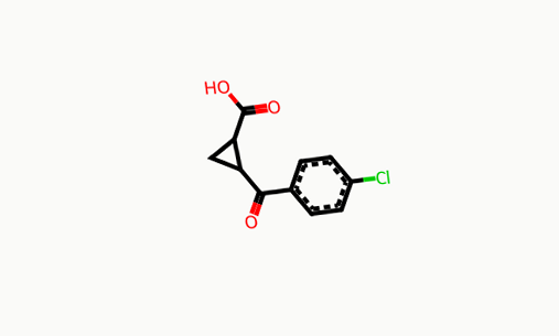 O=C(O)C1CC1C(=O)c1ccc(Cl)cc1